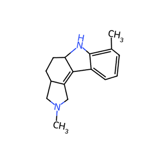 Cc1cccc2c1NC1CCC3CN(C)CC3=C21